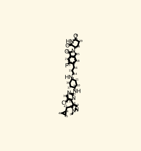 Cn1ncc(-c2nc(NC3CCC(NCCCc4cc5c(cc4F)C(=O)N(C4CCC(=O)NC4=O)C5)CC3)ncc2Cl)c1CC1CC1